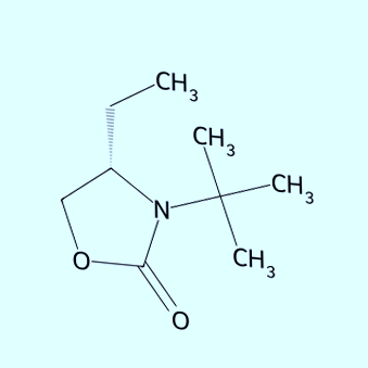 CC[C@H]1COC(=O)N1C(C)(C)C